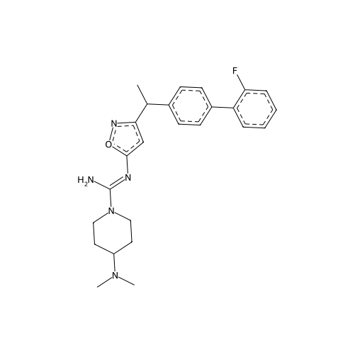 CC(c1ccc(-c2ccccc2F)cc1)c1cc(/N=C(\N)N2CCC(N(C)C)CC2)on1